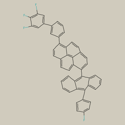 Fc1ccc(-c2c3ccccc3c(-c3ccc4ccc5c(-c6cccc(-c7cc(F)c(F)c(F)c7)c6)ccc6ccc3c4c65)c3ccccc23)cc1